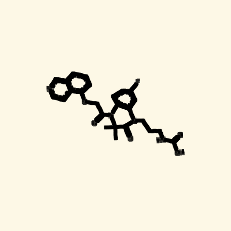 CC1(C)C(=O)N(CCCNC(=O)O)c2cc(F)ccc2N1C(=O)COc1cccc2cnccc12